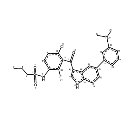 CCCS(=O)(=O)Nc1ccc(Cl)c(C(=O)c2c[nH]c3ncc(-c4cccc(N(C)C)c4)cc23)c1F